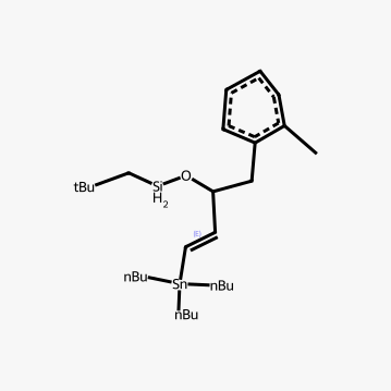 CCC[CH2][Sn](/[CH]=C/C(Cc1ccccc1C)O[SiH2]CC(C)(C)C)([CH2]CCC)[CH2]CCC